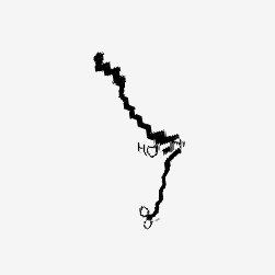 CCCCCCCCCCCCCCCCCCC(O)C[N+](C)(C)CCCCCCCCCC(=O)[O-]